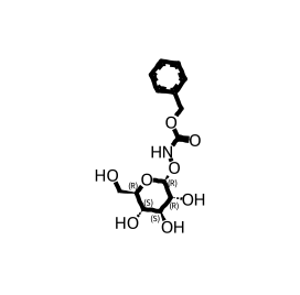 O=C(NO[C@H]1O[C@H](CO)[C@@H](O)[C@H](O)[C@H]1O)OCc1ccccc1